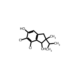 CC(C)C1(C)Cc2cc(O)c(Cl)c(Cl)c2C1O